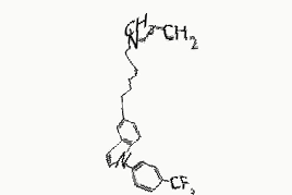 C=CCN(C)CCCCCc1ccc2c(ccn2-c2ccc(C(F)(F)F)cc2)c1